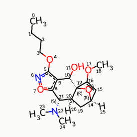 CCCCOc1noc2c1C(O)[C@@]13O[C@@H](C=C1OC)C[C@H]3[C@@H]2N(C)C